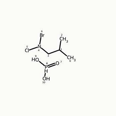 CC(C)CN(Cl)Br.O=[PH](O)O